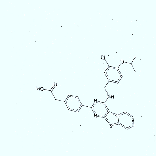 CC(C)Oc1ccc(CNc2nc(-c3ccc(CC(=O)O)cc3)nc3sc4ccccc4c23)cc1Cl